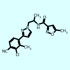 Cc1cc(C(=O)NC(C)Cn2ccc(-c3ccc(C#N)c(Cl)c3C)n2)no1